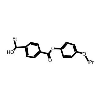 CCC(O)c1ccc(C(=O)Oc2ccc(OC(C)C)cc2)cc1